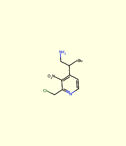 CCCCC(CN)c1ccnc(CCl)c1[N+](=O)[O-]